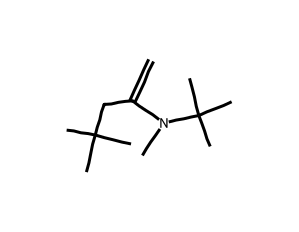 C=C(CC(C)(C)C)N(C)C(C)(C)C